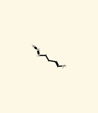 CCCC=CCCN=[N+]=[N-]